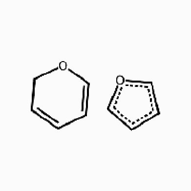 C1=CCOC=C1.c1ccoc1